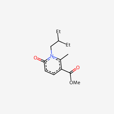 CCC(CC)Cn1c(C)c(C(=O)OC)ccc1=O